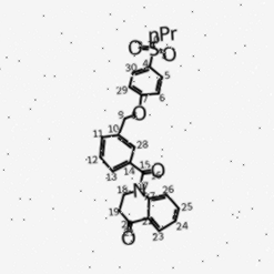 CCCS(=O)(=O)c1ccc(OCc2cccc(C(=O)N3CCC(=O)c4ccccc43)c2)cc1